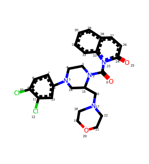 O=C(N1CCN(c2ccc(Cl)c(Cl)c2)CC1CN1CCOCC1)n1c(=O)ccc2ccccc21